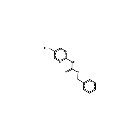 Cc1cnc(NC(=O)OCc2ccccc2)nc1